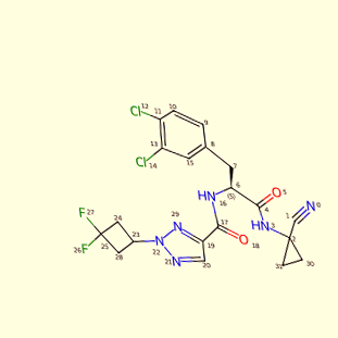 N#CC1(NC(=O)[C@H](Cc2ccc(Cl)c(Cl)c2)NC(=O)c2cnn(C3CC(F)(F)C3)n2)CC1